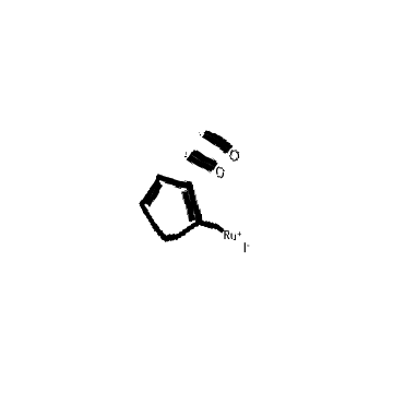 [C]=O.[C]=O.[I-].[Ru+][C]1=CC=CC1